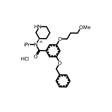 COCCCOc1cc(OCc2ccccc2)cc(C(=O)N(C(C)C)[C@@H]2CCCNC2)c1.Cl